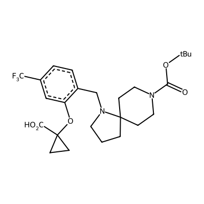 CC(C)(C)OC(=O)N1CCC2(CCCN2Cc2ccc(C(F)(F)F)cc2OC2(C(=O)O)CC2)CC1